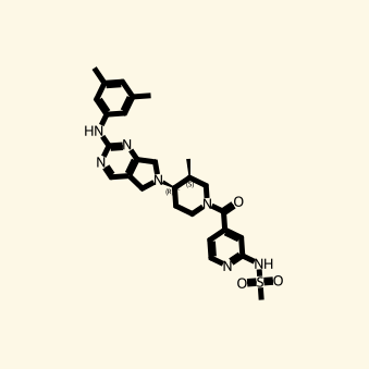 Cc1cc(C)cc(Nc2ncc3c(n2)CN([C@@H]2CCN(C(=O)c4ccnc(NS(C)(=O)=O)c4)C[C@@H]2C)C3)c1